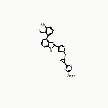 CCOC(=O)c1noc(C2CC2Cn2cc(-c3nc4c(-c5cccc(N)c5CO)ccnc4[nH]3)cn2)n1